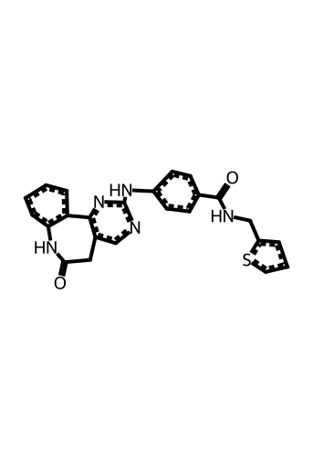 O=C1Cc2cnc(Nc3ccc(C(=O)NCc4cccs4)cc3)nc2-c2ccccc2N1